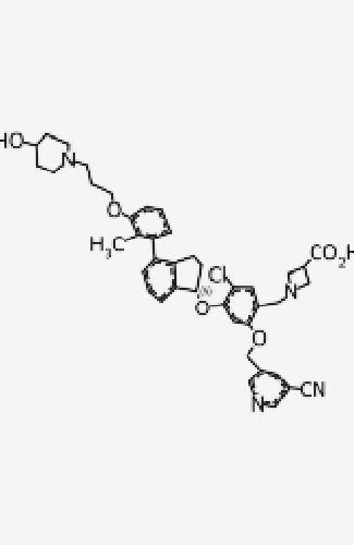 Cc1c(OCCCN2CCC(O)CC2)cccc1-c1cccc2c1CC[C@@H]2Oc1cc(OCc2cncc(C#N)c2)c(CN2CC(C(=O)O)C2)cc1Cl